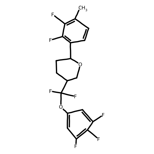 Cc1ccc(C2CCC(C(F)(F)Oc3cc(F)c(F)c(F)c3)CO2)c(F)c1F